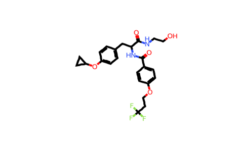 O=C(NC(Cc1ccc(OC2CC2)cc1)C(=O)NCCO)c1ccc(OCCC(F)(F)F)cc1